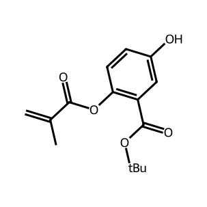 C=C(C)C(=O)Oc1ccc(O)cc1C(=O)OC(C)(C)C